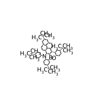 CC(C)(C)c1ccc(N2c3ccc(C(C)(C)C)cc3B3Oc4ccc(C(C)(C)C)cc4-c4c3c2c2ccc3cc(C(C)(C)C)cc5ccc4c2c53)cc1